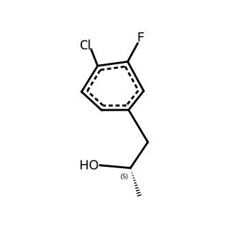 C[C@H](O)Cc1ccc(Cl)c(F)c1